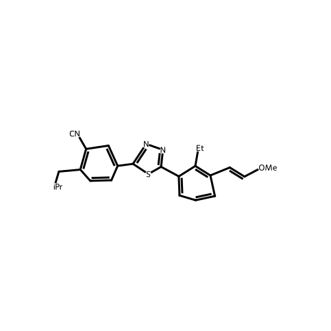 [C-]#[N+]c1cc(-c2nnc(-c3cccc(/C=C/OC)c3CC)s2)ccc1CC(C)C